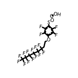 OOOSc1c(F)c(F)c(OCCC(F)(F)C(F)(F)C(F)(F)C(F)(F)C(F)(F)C(F)(F)F)c(F)c1F